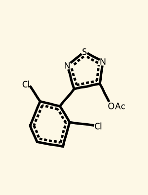 CC(=O)Oc1nsnc1-c1c(Cl)cccc1Cl